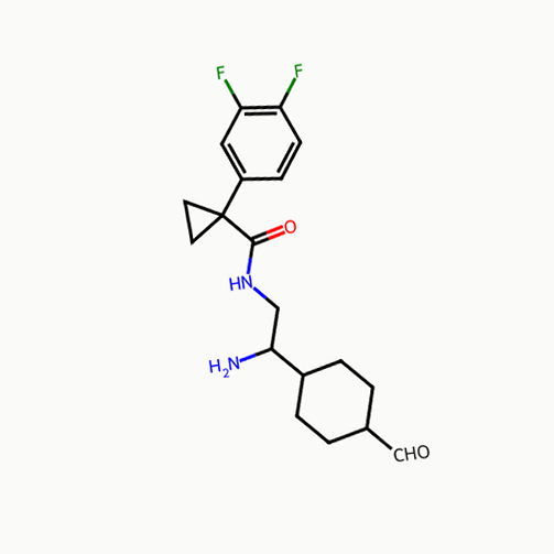 NC(CNC(=O)C1(c2ccc(F)c(F)c2)CC1)C1CCC(C=O)CC1